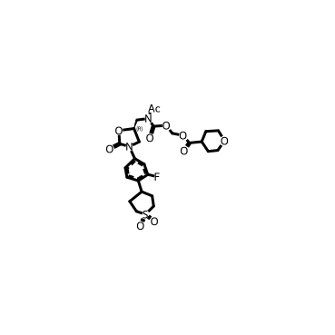 CC(=O)N(C[C@H]1CN(c2ccc(C3CCS(=O)(=O)CC3)c(F)c2)C(=O)O1)C(=O)OCOC(=O)C1CCOCC1